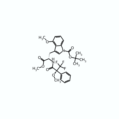 COC(=O)[C@H](Cc1cn(C(=O)OC(C)(C)C)c2cccc(OC)c12)NC(=O)[C@@](OC)(c1ccccc1)C(F)(F)F